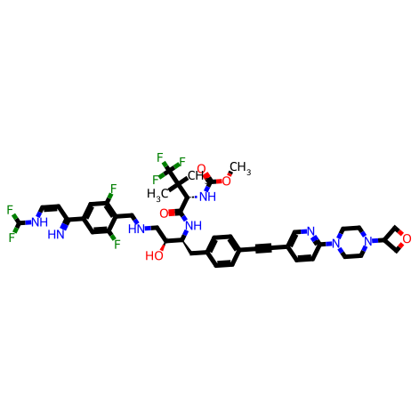 COC(=O)N[C@H](C(=O)N[C@@H](Cc1ccc(C#Cc2ccc(N3CCN(C4COC4)CC3)nc2)cc1)[C@@H](O)CNCc1c(F)cc(C(=N)/C=C\NC(F)F)cc1F)C(C)(C)C(F)(F)F